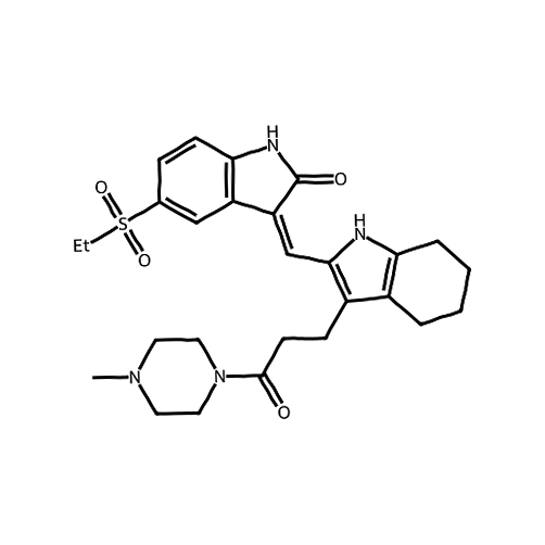 CCS(=O)(=O)c1ccc2c(c1)/C(=C/c1[nH]c3c(c1CCC(=O)N1CCN(C)CC1)CCCC3)C(=O)N2